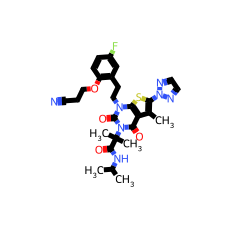 Cc1c(-n2nccn2)sc2c1c(=O)n(C(C)(C)C(=O)NC(C)C)c(=O)n2CCc1cc(F)ccc1OCCC#N